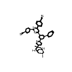 C[C@H]1C[C@@H]2C[C@H](C1)CC(C)(c1ccc(-c3cc(-c4ccccc4)cc(-c4cc(-c5ccc(C#N)cc5)nc(-c5ccc(C#N)cc5)n4)c3)nc1)C2